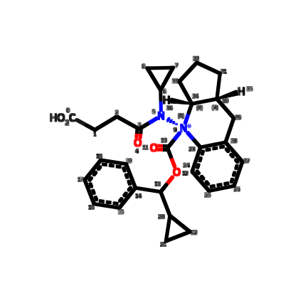 O=C(O)CCC(=O)N(C1CC1)[N@@+]1(C(=O)OC(c2ccccc2)C2CC2)c2ccccc2C[C@H]2CCC[C@H]21